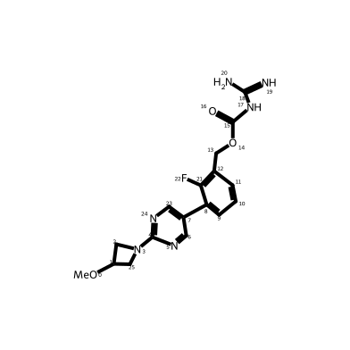 COC1CN(c2ncc(-c3cccc(COC(=O)NC(=N)N)c3F)cn2)C1